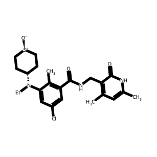 CCN(c1cc(Cl)cc(C(=O)NCc2c(C)cc(C)[nH]c2=O)c1C)[C@H]1CC[S@+]([O-])CC1